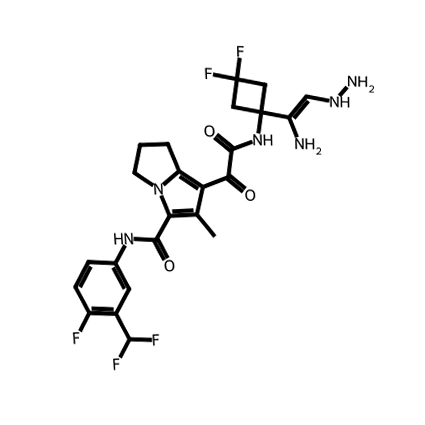 Cc1c(C(=O)C(=O)NC2(/C(N)=C/NN)CC(F)(F)C2)c2n(c1C(=O)Nc1ccc(F)c(C(F)F)c1)CCC2